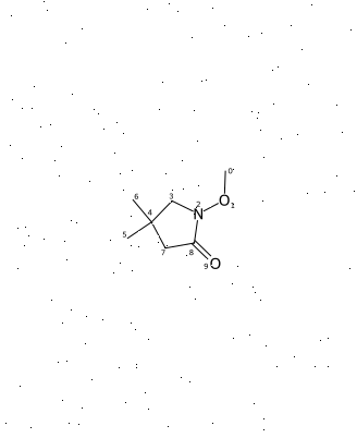 CON1CC(C)(C)CC1=O